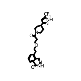 O=C(CCOCCc1cccc2c(=O)[nH]ncc12)N1CCC(c2cc(C(F)(F)F)[nH]n2)CC1